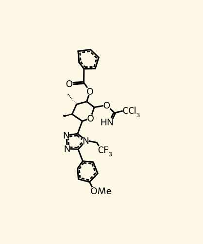 COc1ccc(-c2nnc(C3OC(OC(=N)C(Cl)(Cl)Cl)C(OC(=O)c4ccccc4)[C@@H](C)[C@@H]3C)n2CC(F)(F)F)cc1